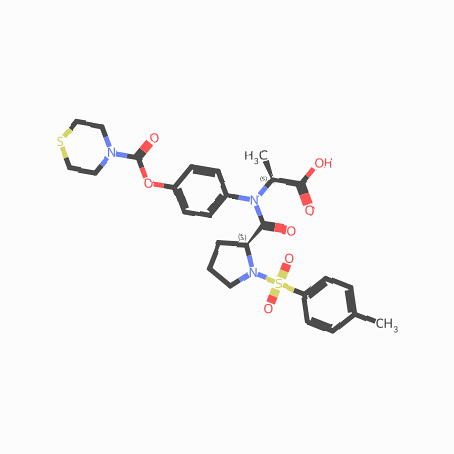 Cc1ccc(S(=O)(=O)N2CCC[C@H]2C(=O)N(c2ccc(OC(=O)N3CCSCC3)cc2)[C@@H](C)C(=O)O)cc1